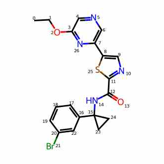 CCOc1cncc(-c2cnc(C(=O)NC3(c4cccc(Br)c4)CC3)s2)n1